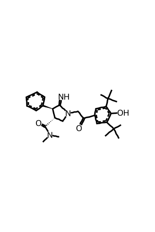 CN(C)C(=O)[C@H]1CN(CC(=O)c2cc(C(C)(C)C)c(O)c(C(C)(C)C)c2)C(=N)[C@@H]1c1ccccc1